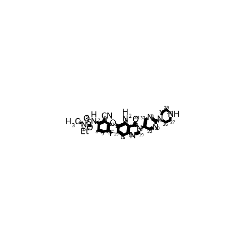 CCN(C)S(=O)(=O)Nc1ccc(F)c(Oc2ccc3ncn(-c4cnc(N5CCNCC5)nc4)c(=O)c3c2N)c1C#N